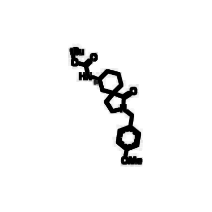 COc1ccc(CN2CCC3(CCC[C@H](NC(=O)OC(C)(C)C)C3)C2=O)cc1